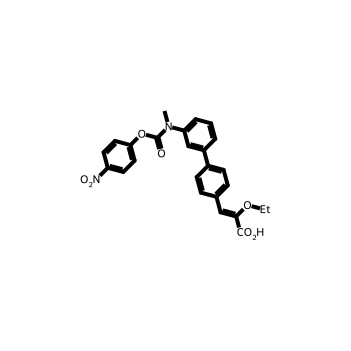 CCO/C(=C\c1ccc(-c2cccc(N(C)C(=O)Oc3ccc([N+](=O)[O-])cc3)c2)cc1)C(=O)O